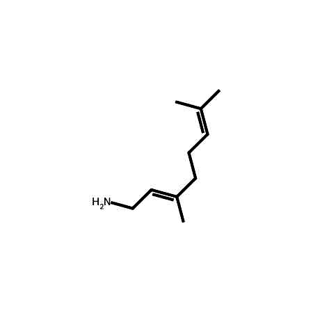 CC(C)=CCCC(C)=CCN